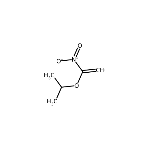 [CH]=C(OC(C)C)[N+](=O)[O-]